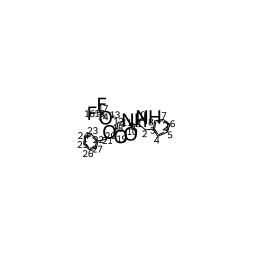 N[C@@H](Cc1ccccc1)C(=O)N[C@@H](COC(F)F)C(=O)OCc1ccccc1